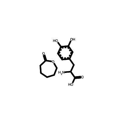 NC(Cc1ccc(O)c(O)c1)C(=O)O.O=C1CCCCCO1